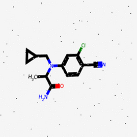 CC(C(N)=O)N(CC1CC1)c1ccc(C#N)c(Cl)c1